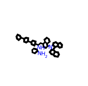 NC1=CCCC=C1NC(CC1C=CC(n2c3ccc4ccccc4c3c3c4ccccc4ccc32)=C2C=CC=CC21)c1ccc(-c2ccc(-c3ccccc3)cc2)cc1